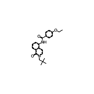 CCOc1ccc(C(=O)Nc2cccc3c(=O)n(CC(C)(C)C)ccc23)cc1